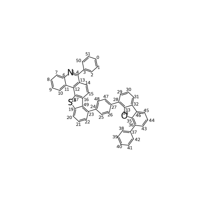 c1ccc(-c2nc3ccccc3c3c2ccc2c3sc3cccc(-c4ccc(-c5cccc6c5oc5c(-c7ccccc7)cccc56)cc4)c32)cc1